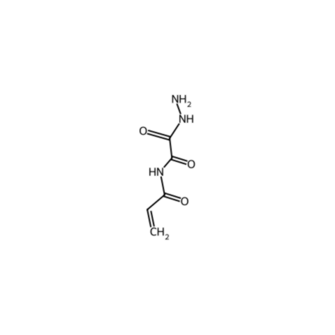 C=CC(=O)NC(=O)C(=O)NN